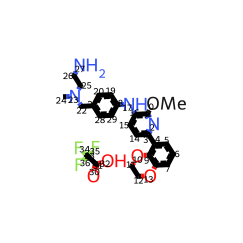 COc1nc(-c2cccc3c2OCCO3)ccc1Nc1ccc(CN(C)CCN)cc1.O=C(O)C(F)(F)F